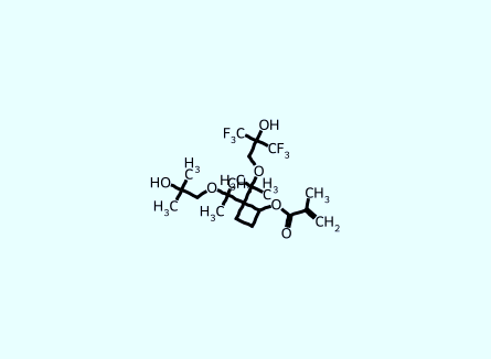 C=C(C)C(=O)OC1CCC1(C(C)(C)OCC(C)(C)O)C(C)(C)OCC(O)(C(F)(F)F)C(F)(F)F